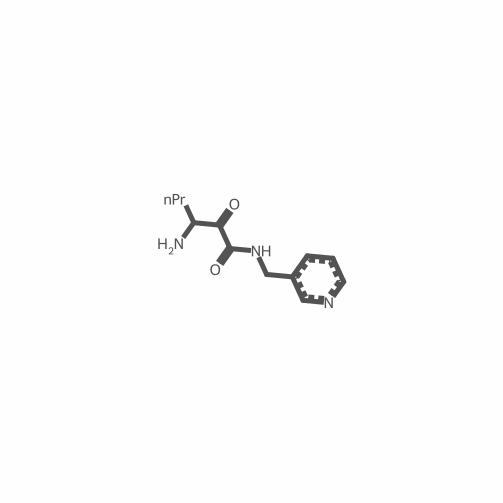 CCCC(N)C(=O)C(=O)NCc1cccnc1